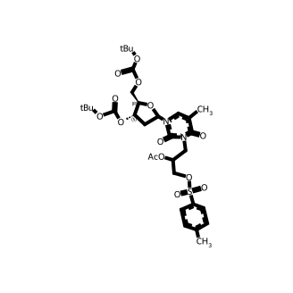 CC(=O)OC(COS(=O)(=O)c1ccc(C)cc1)Cn1c(=O)c(C)cn(C2C[C@H](OC(=O)OC(C)(C)C)[C@@H](COC(=O)OC(C)(C)C)O2)c1=O